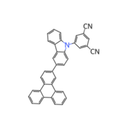 N#Cc1cc(C#N)cc(-n2c3ccccc3c3cc(-c4ccc5c6ccccc6c6ccccc6c5c4)ccc32)c1